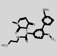 COc1cccc(-c2cc(N(C(=O)NCCC(=O)O)[C@H]3C(=O)C=CN(C)C3=O)ccc2OC(F)(F)F)c1